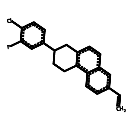 C=Cc1ccc2c3c(ccc2c1)CC(c1ccc(Cl)c(F)c1)CC3